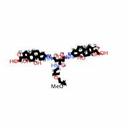 COC(C)(C)CCOC(C)(C)CCNC(=O)C(O)(CC(=O)N/N=C1\C=C[C@@]2(C)C(=C1)CC[C@H]1[C@@H]3C[C@@H](C)[C@](O)(C(=O)CO)[C@@]3(C)C[C@H](O)[C@@]12F)CC(=O)N/N=C1\C=C[C@@]2(C)C(=C1)CC[C@H]1[C@@H]3C[C@@H](C)[C@](O)(C(=O)CO)[C@@]3(C)C[C@H](O)[C@@]12F